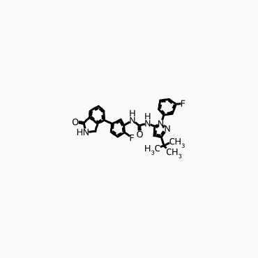 CC(C)(C)c1cc(NC(=O)Nc2cc(-c3cccc4c3CNC4=O)ccc2F)n(-c2cccc(F)c2)n1